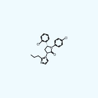 CCCc1nccn1[C@H]1C[C@H](c2ccccc2Cl)N(c2ccc(Cl)cc2)C1=O